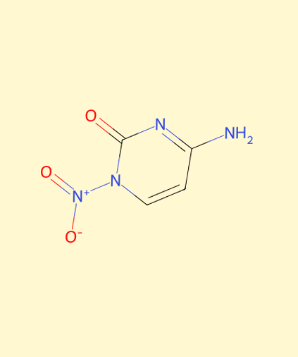 Nc1ccn([N+](=O)[O-])c(=O)n1